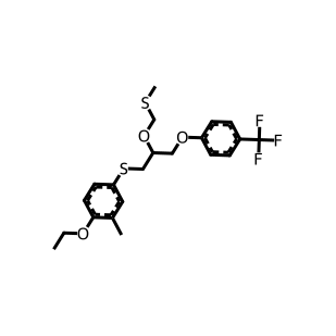 CCOc1ccc(SCC(COc2ccc(C(F)(F)F)cc2)OCSC)cc1C